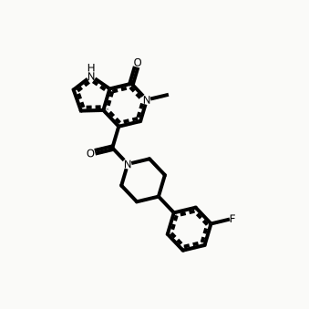 Cn1cc(C(=O)N2CCC(c3cccc(F)c3)CC2)c2cc[nH]c2c1=O